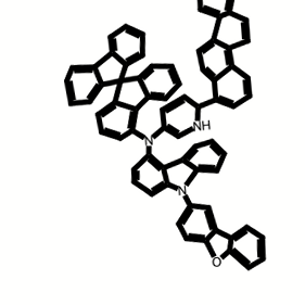 C1=CC(c2cccc3c2ccc2c4ccccc4ccc32)NC=C1N(c1cccc2c1-c1ccccc1C21c2ccccc2-c2ccccc21)c1cccc2c1c1ccccc1n2-c1ccc2oc3ccccc3c2c1